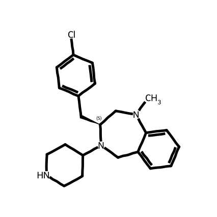 CN1C[C@H](Cc2ccc(Cl)cc2)N(C2CCNCC2)Cc2ccccc21